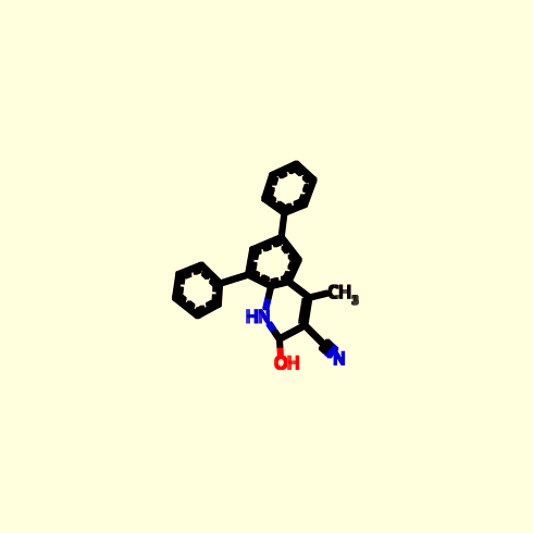 CC1=C(C#N)C(O)Nc2c1cc(-c1ccccc1)cc2-c1ccccc1